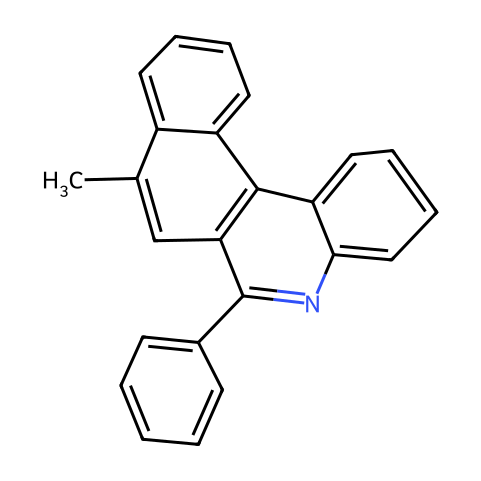 Cc1cc2c(-c3ccccc3)nc3ccccc3c2c2ccccc12